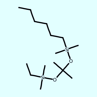 CCCCCC[Si](C)(C)OC(C)(C)O[Si](C)(C)CC